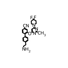 Cc1nc(Oc2cc(C#N)ccc2-c2ccc(CCN)cc2)cc(N2CCC(F)(F)CC2)n1